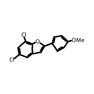 COc1ccc(-c2cc3cc(Cl)cc(Cl)c3o2)cc1